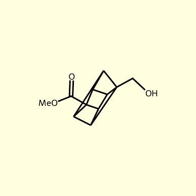 COC(=O)C12C3C4C1C1C2C3C41CO